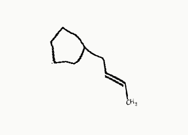 CC=CCC1C[CH]CCC1